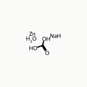 O.O=C(O)O.[NaH].[Zn]